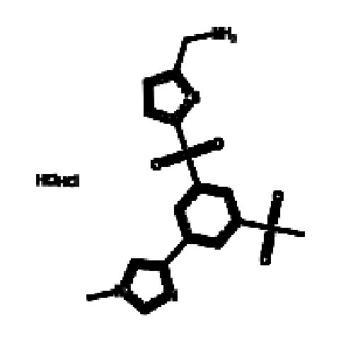 Cl.Cl.Cn1cnc(-c2cc(S(C)(=O)=O)cc(S(=O)(=O)c3ccc(CN)s3)c2)c1